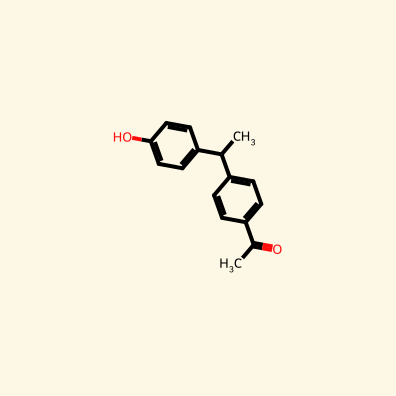 CC(=O)c1ccc(C(C)c2ccc(O)cc2)cc1